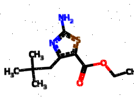 CCOC(=O)c1sc(N)nc1CC(C)(C)C